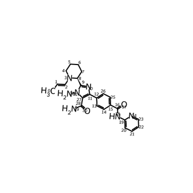 CC=CN1CCCC[C@H]1c1nc(-c2ccc(C(=O)Nc3ccccn3)cc2)c(C(N)=O)n1N